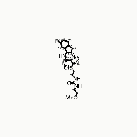 COCCNC(=O)NCCSc1nonc1/C(=N\O)NC1CCc2ccc(F)cc21